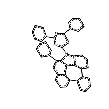 c1ccc(-c2nc(-c3ccccc3)nc(-n3c4cccc5c4c4c6c(cccc6cc(-c6ccccc6)c43)-c3ccccc3-5)n2)cc1